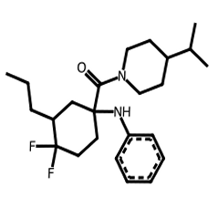 CCCC1CC(Nc2ccccc2)(C(=O)N2CCC(C(C)C)CC2)CCC1(F)F